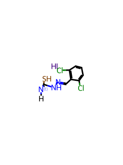 I.[H]/N=C(/S)NN=Cc1c(Cl)cccc1Cl